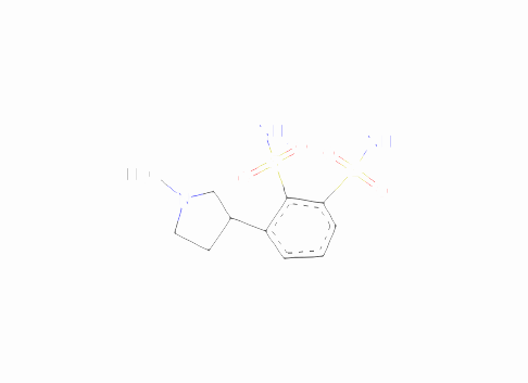 CN1CCC(c2cccc(S(N)(=O)=O)c2S(N)(=O)=O)C1